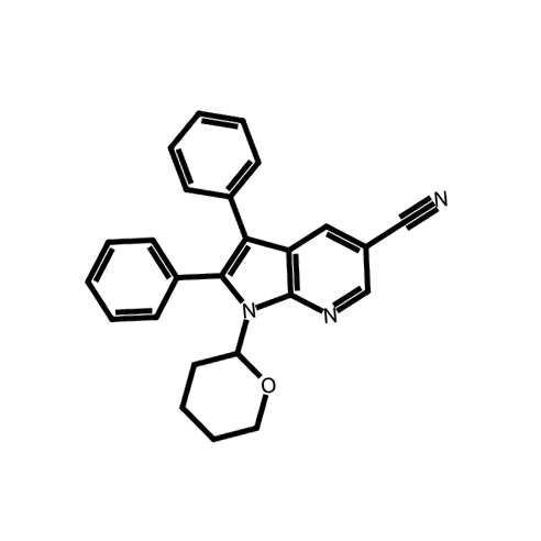 N#Cc1cnc2c(c1)c(-c1ccccc1)c(-c1ccccc1)n2C1CCCCO1